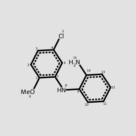 COc1ccc(Cl)cc1Nc1ccccc1N